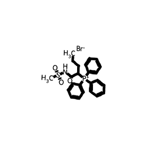 CCCC(C(=O)NS(C)(=O)=O)[P+](c1ccccc1)(c1ccccc1)c1ccccc1.[Br-]